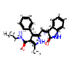 CCNC(=O)c1c(C)[nH]c(/C=C2\C(=O)Nc3ccccc32)c1-c1ccccc1